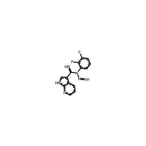 N=NN(C(=N)c1c[nH]c2ncccc12)c1cccc(F)c1F